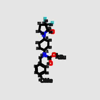 COc1ccc(CN(C(=O)OC(C)(C)C)[C@H]2CC[C@H](N3CCC(F)(F)C3=O)CC2)cc1